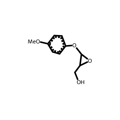 COc1ccc(OC2OC2CO)cc1